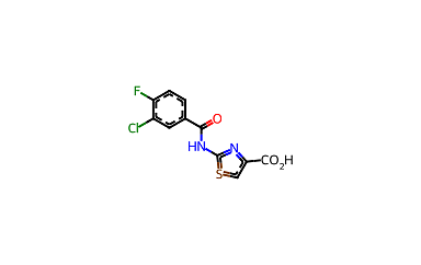 O=C(Nc1nc(C(=O)O)cs1)c1ccc(F)c(Cl)c1